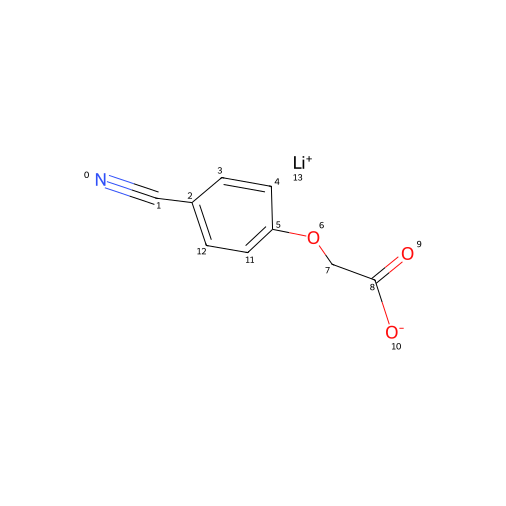 N#Cc1ccc(OCC(=O)[O-])cc1.[Li+]